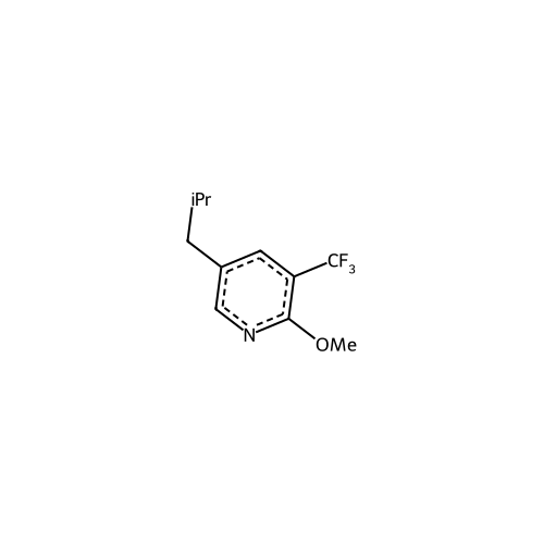 COc1ncc(CC(C)C)cc1C(F)(F)F